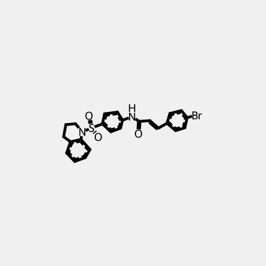 O=C(C=Cc1ccc(Br)cc1)Nc1ccc(S(=O)(=O)N2CCCc3ccccc32)cc1